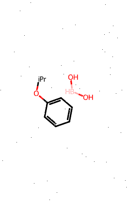 CC(C)Oc1ccccc1.OBO